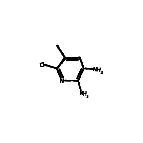 Cc1cc(N)c(N)nc1Cl